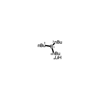 CCCCB(CCCC)CCCC.[LiH]